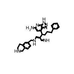 N=C/C(=C\NCc1ccc2c(c1)CCNC2)C(CCCc1ccccc1)c1cc(N)nc2[nH]nnc12